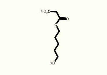 O=C(O)CC(=O)OCCCCCO